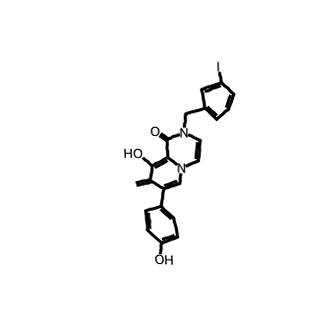 C=C1C(c2ccc(O)cc2)=CN2C=CN(Cc3cccc(I)c3)C(=O)C2=C1O